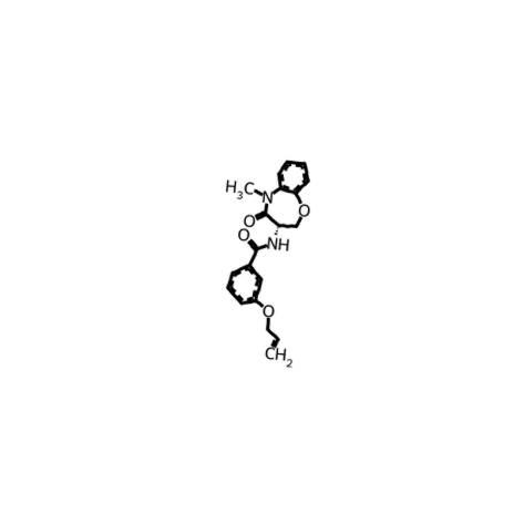 C=CCOc1cccc(C(=O)N[C@H]2COc3ccccc3N(C)C2=O)c1